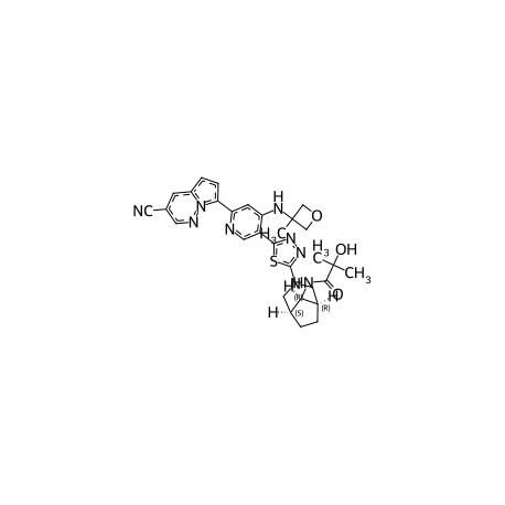 CC1(Nc2cc(-c3ccc4cc(C#N)cnn34)ncc2-c2nnc(N3C[C@H]4CC[C@@H](C3)[C@H]4NC(=O)C(C)(C)O)s2)COC1